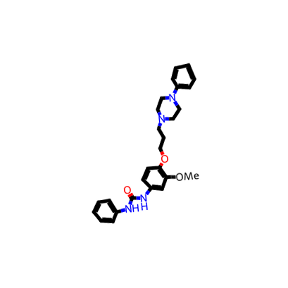 COc1cc(NC(=O)Nc2ccccc2)ccc1OCCCN1CCN(c2ccccc2)CC1